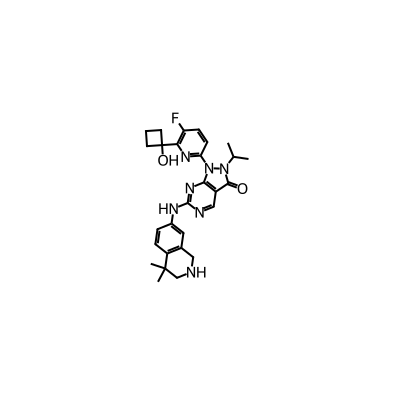 CC(C)n1c(=O)c2cnc(Nc3ccc4c(c3)CNCC4(C)C)nc2n1-c1ccc(F)c(C2(O)CCC2)n1